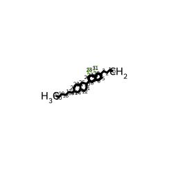 C=CCCc1ccc2cc(C3CCC4CC(CCCCCC)CCC4C3)cc(F)c2c1F